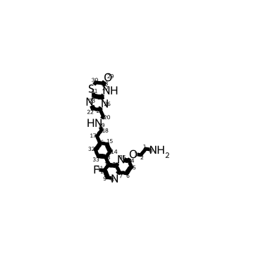 NCCOc1ccc2ncc(F)c(-c3ccc(CCNCc4cnc5c(n4)NC(=O)CS5)cc3)c2n1